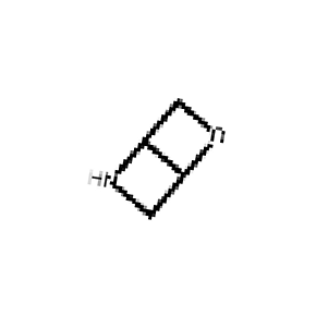 C1OC2CNC12